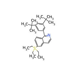 CCS(CC)(CC)c1ccc2c(-c3cc(C(C)(C)C)cc(C(C)(C)C)c3)nccc2c1